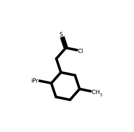 CC1CCC(C(C)C)C(CC(=S)Cl)C1